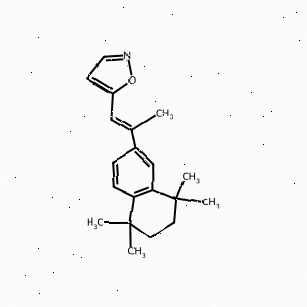 CC(=Cc1ccno1)c1ccc2c(c1)C(C)(C)CCC2(C)C